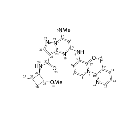 CNc1cc(Nc2cccn(-c3ncccc3F)c2=O)nc2c(C(=O)N[C@@H]3C(C)C[C@H]3OC)cnn12